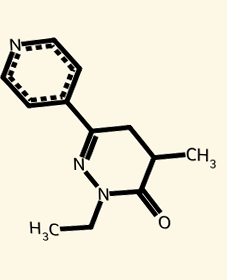 CCN1N=C(c2ccncc2)CC(C)C1=O